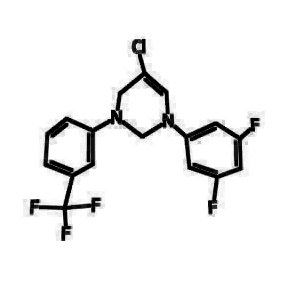 Fc1cc(F)cc(N2C=C(Cl)CN(c3cccc(C(F)(F)F)c3)C2)c1